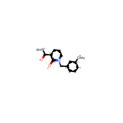 CNC(=O)c1cccn(Cc2cccc(OC)c2)c1=O